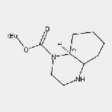 CC(C)(C)OC(=O)N1CCNC2CCCC[C@@H]21